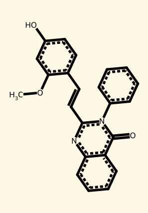 COc1cc(O)ccc1/C=C/c1nc2ccccc2c(=O)n1-c1ccccc1